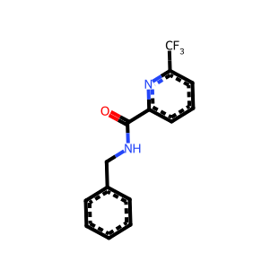 O=C(NCc1ccccc1)c1cccc(C(F)(F)F)n1